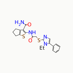 CCn1c(-c2ccccc2)cnc1SCC(=O)Nc1sc2c(c1C(N)=O)CCC2